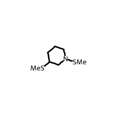 CSC1CCCN(SC)C1